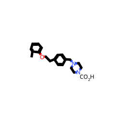 Cc1ccccc1OCCc1ccc(CN2CCN(C(=O)O)CC2)cc1